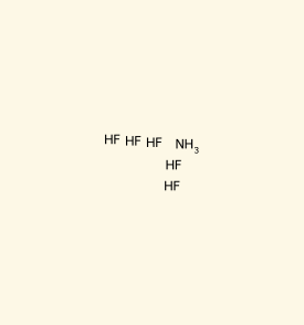 F.F.F.F.F.N